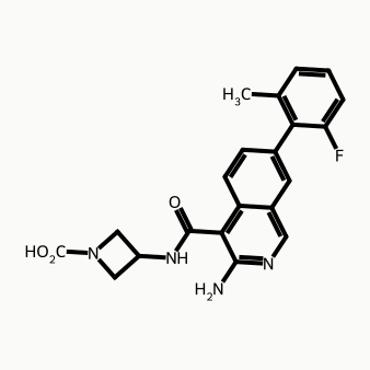 Cc1cccc(F)c1-c1ccc2c(C(=O)NC3CN(C(=O)O)C3)c(N)ncc2c1